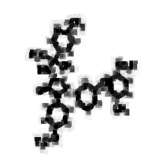 CC(C)(N[C@@H]1C[C@H](c2cccc(C(F)(F)F)c2)N(c2ccc(OC(F)(F)F)cc2)C1=O)c1ccc(C(F)(F)F)nc1.Cc1ccc(S(=O)(=O)O)cc1